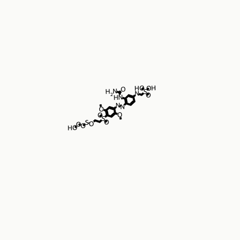 COc1cc(S(=O)(=O)CCOSOOO)c(OC)cc1/N=N/c1ccc(NCS(=O)(=O)O)cc1NC(N)=O